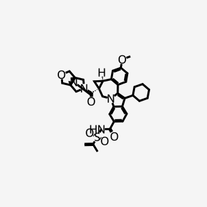 C=C(C)S(=O)(=O)NC(=O)c1ccc2c(C3CCCCC3)c3n(c2c1)C[C@@]1(C(=O)N2CC45COCC4(CN(C)C5)C2)C[C@H]1c1cc(OC)ccc1-3